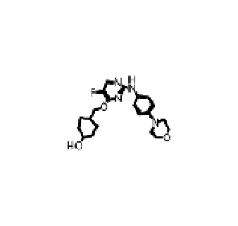 OC1CCC(COc2nc(Nc3ccc(N4CCOCC4)cc3)ncc2F)CC1